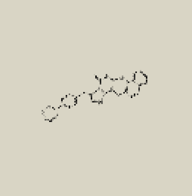 Nc1nc(=O)c2c(ncn2Cc2ccc(-c3ccccc3)cc2)n1Cc1ccc2ccccc2c1